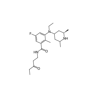 CCC(=O)CCNC(=O)c1cc(F)cc(N(CC)C2CC(C)N[C@H](C)C2)c1C